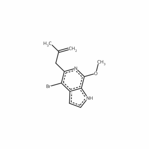 C=C(C)Cc1nc(OC)c2[nH]ccc2c1Br